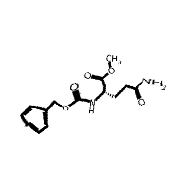 COC(=O)[C@H](CCC(N)=O)NC(=O)OCc1ccccc1